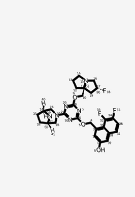 Oc1cc(COc2nc(OC[C@@]34CCCN3C[C@H](F)C4)nc(N3C[C@H]4CC[C@@H](C3)N4)n2)c2c(F)c(F)ccc2c1